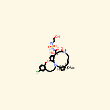 CO[C@H]1/C=C/CCN(C)C(=O)C[C@](O)(C(=O)NS(=O)(=O)NCCO)c2ccc3c(c2)N(CCCCc2cc(Cl)ccc2CO3)C[C@@H]2CC[C@H]21